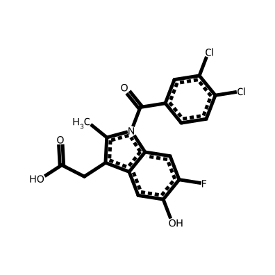 Cc1c(CC(=O)O)c2cc(O)c(F)cc2n1C(=O)c1ccc(Cl)c(Cl)c1